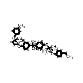 C=Cc1ccc(O[Si](C)(C)C(C)(C)Oc2ccc(C(C)(C)c3ccc(O[Si]4(C)CCC4(C)Oc4ccc(C)cc4)cc3)cc2)cc1